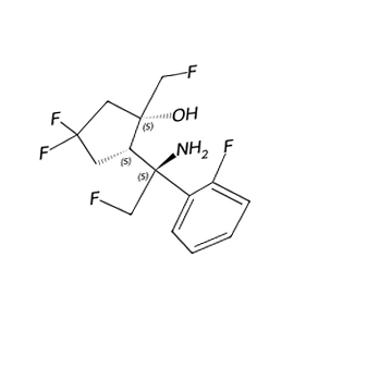 N[C@](CF)(c1ccccc1F)[C@@H]1CC(F)(F)C[C@@]1(O)CF